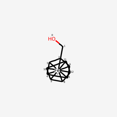 OC[C]12[CH]3[CH]4[CH]5[CH]1[Fe]45321678[CH]2[CH]1[CH]6[CH]7[CH]28